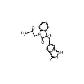 NC(=O)CN1C(=O)[C@@]2(C[C@H]2c2ccc3c(I)n[nH]c3c2)c2ccccc21